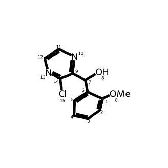 COc1ccccc1C(O)c1nccnc1Cl